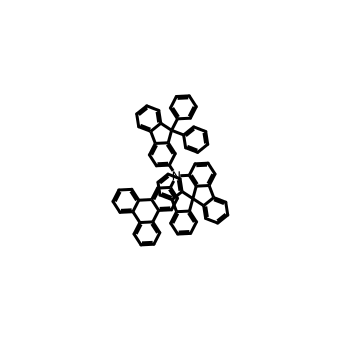 c1ccc(C2(c3ccccc3)c3ccccc3-c3ccc(N(c4ccc5c6ccccc6c6ccccc6c5c4)c4cccc5c4C4(c6ccccc6-c6ccccc64)c4ccccc4-5)cc32)cc1